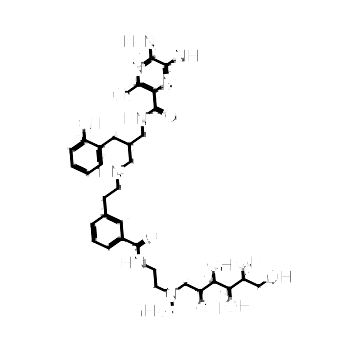 CCCCCCN(CCNC(=O)c1cccc(CCNCC(CNC(=O)c2nc(N)c(N)nc2Cl)Cc2ccccc2C)c1)CC(O)C(O)C(O)C(O)CO